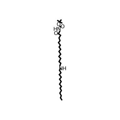 CCCCCCCCCCCCCCNCCCCCCCCCCCCCCC(=O)CNC(=O)OC(C)(C)C